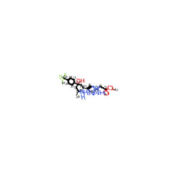 COC(=O)CN1C=C([C@@H]2CC(O)(c3ccc(C(F)(F)F)cc3)C[C@H](C)N2)NN1